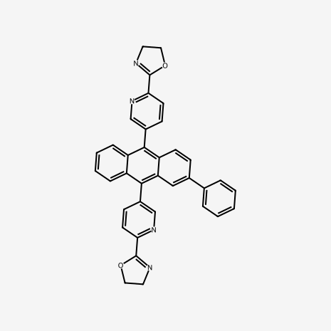 c1ccc(-c2ccc3c(-c4ccc(C5=NCCO5)nc4)c4ccccc4c(-c4ccc(C5=NCCO5)nc4)c3c2)cc1